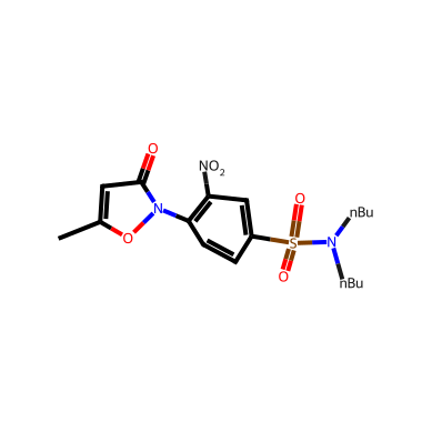 CCCCN(CCCC)S(=O)(=O)c1ccc(-n2oc(C)cc2=O)c([N+](=O)[O-])c1